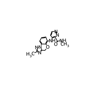 CNC(=O)c1nnccc1Nc1cccc2c1OCc1nc(C)nn1-2